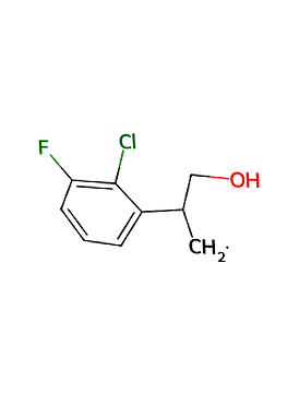 [CH2]C(CO)c1cccc(F)c1Cl